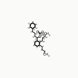 CCCCc1cccc(C(CCCc2ccccc2)OC(=O)O)c1CCCC